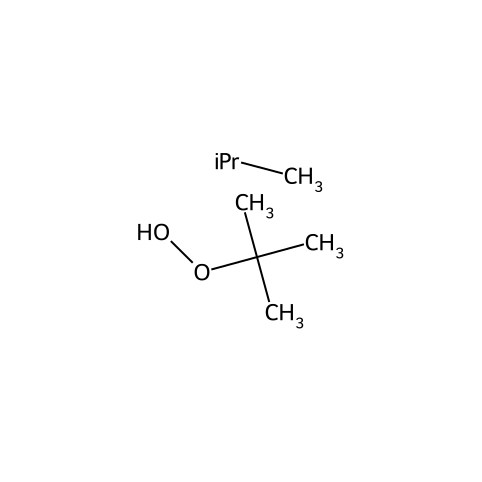 CC(C)(C)OO.CC(C)C